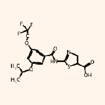 CC(C)Oc1cc(OCC(F)(F)F)cc(C(=O)NC2=NCC(C(=O)O)S2)c1